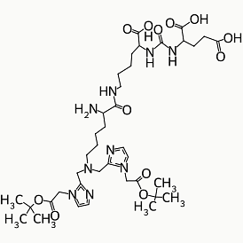 CC(C)(C)OC(=O)Cn1ccnc1CN(CCCCC(N)C(=O)NCCCCC(NC(=O)NC(CCC(=O)O)C(=O)O)C(=O)O)Cc1nccn1CC(=O)OC(C)(C)C